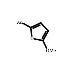 COc1ccc(C(C)=O)o1